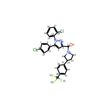 O=C(c1[c]c(-c2ccc(Cl)cc2)n(-c2ccccc2Cl)n1)N1CCC(c2ccc(C(F)(F)F)cc2)C1